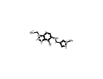 CC(C)n1cc(CNc2ccc3c(nnn3CC(C)(C)C)c2Br)cn1